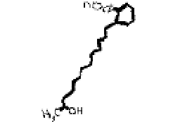 CCCCCCCCc1ccccc1CCCCCCCCCCCC(C)O